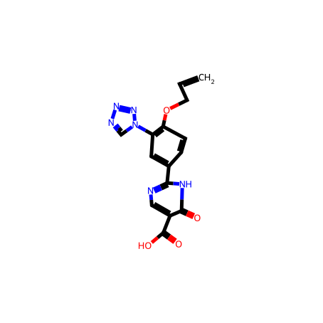 C=CCOc1ccc(-c2ncc(C(=O)O)c(=O)[nH]2)cc1-n1cnnn1